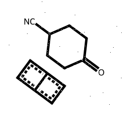 N#CC1CCC(=O)CC1.c1cc2ccc1-2